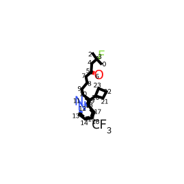 CC(C)(F)CC(=O)CCCc1nn2ccc(C(F)(F)F)cc2c1C1CCC1